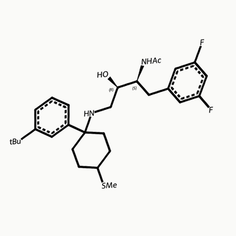 CSC1CCC(NC[C@@H](O)[C@H](Cc2cc(F)cc(F)c2)NC(C)=O)(c2cccc(C(C)(C)C)c2)CC1